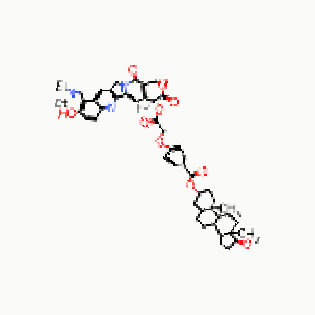 CCN(CC)Cc1c(O)ccc2nc3c(cc12)Cn1c-3cc2c(c1=O)COC(=O)[C@@]2(CC)OC(=O)COc1ccc(C(=O)O[C@H]2CC[C@@]3(C)C(CCC4C3CC[C@]3(C)C(=O)CCC43)C2)cc1